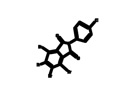 O=C1c2c(Br)c(Br)c(Br)c(Br)c2C(=O)N1c1ccc(Cl)cc1